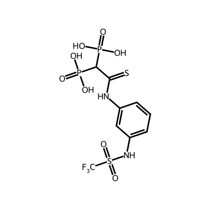 O=P(O)(O)C(C(=S)Nc1cccc(NS(=O)(=O)C(F)(F)F)c1)P(=O)(O)O